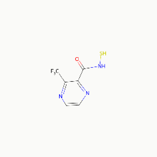 O=C(NS)c1nccnc1C(F)(F)F